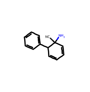 N#CC1(N)C=CC=CC1c1ccccc1